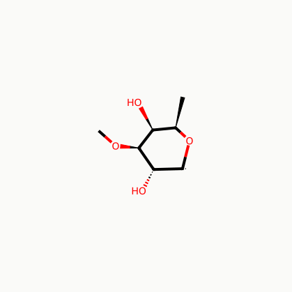 CO[C@H]1[C@@H](O)[C@@H](C)O[CH][C@@H]1O